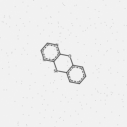 c1ccc2c(c1)Oc1nccnc1[Se]2